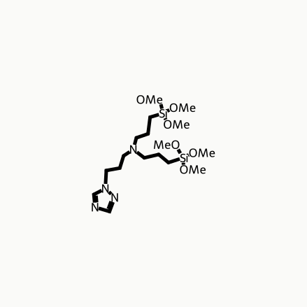 CO[Si](CCCN(CCCn1cncn1)CCC[Si](OC)(OC)OC)(OC)OC